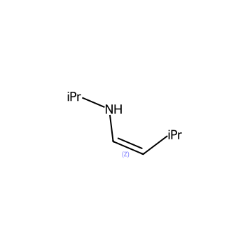 CC(C)/C=C\NC(C)C